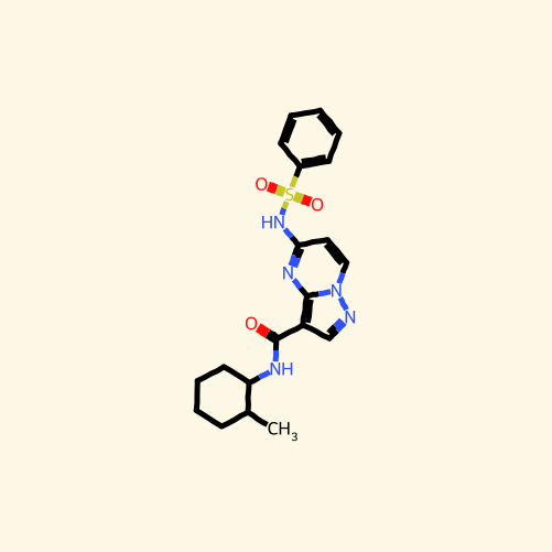 CC1CCCCC1NC(=O)c1cnn2ccc(NS(=O)(=O)c3ccccc3)nc12